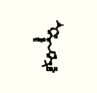 CCCCCCCN(CCc1csc(SC(C)(C)C(=O)O)n1)c1ncc(N(C)C)cn1